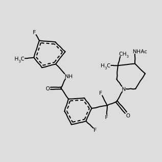 CC(=O)NC1CCN(C(=O)C(F)(F)c2cc(C(=O)Nc3ccc(F)c(C)c3)ccc2F)CC1(C)C